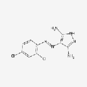 Nc1n[nH]c(N)c1N=Nc1ccc(Cl)cc1Cl